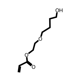 C=CC(=O)OCCOCCCCO